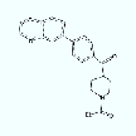 CCC(=O)N1CCC(C(=O)c2ccc(-c3ccc4cccnc4c3)cc2)CC1